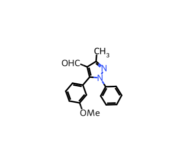 COc1cccc(-c2c(C=O)c(C)nn2-c2ccccc2)c1